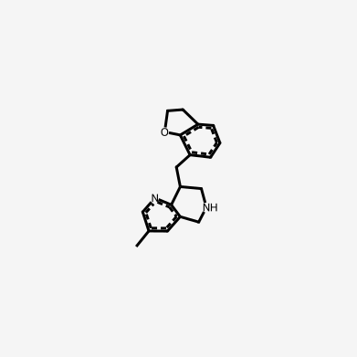 Cc1cnc2c(c1)CNCC2Cc1cccc2c1OCC2